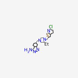 CC[C@H]1CN(Cc2ccc3c(N)ncnc3c2)CCN1Cc1cc2ccc(Cl)nc2s1